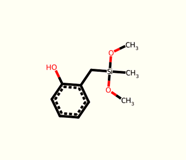 CO[Si](C)(Cc1ccccc1O)OC